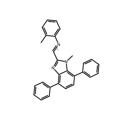 Cc1ccccc1/N=C/c1nc2c(-c3ccccc3)ccc(-c3ccccc3)c2n1C